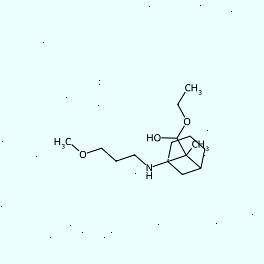 CCOC(O)C1(C)C2CCCC1(NCCCOC)C2